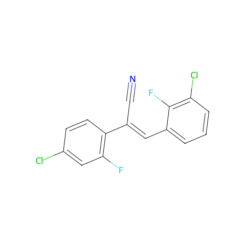 N#CC(=Cc1cccc(Cl)c1F)c1ccc(Cl)cc1F